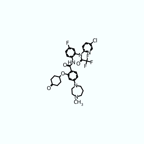 CN1CCCN(c2ccc(C(=O)Nc3ccc(F)cc3N(C(=O)C(F)(F)F)c3ccc(Cl)cn3)c(OC3CCC(=O)CC3)c2)CC1